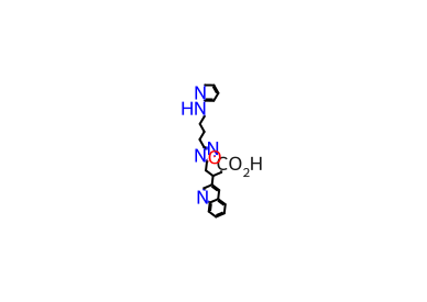 O=C(O)CC(Cc1nc(CCCCNc2ccccn2)no1)c1cnc2ccccc2c1